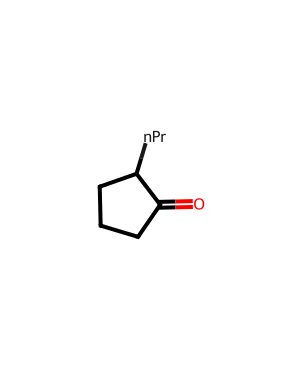 CCCC1CCCC1=O